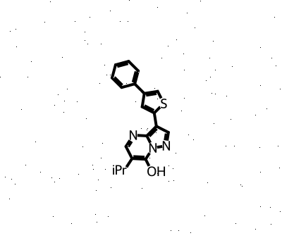 CC(C)c1cnc2c(-c3cc(-c4ccccc4)cs3)cnn2c1O